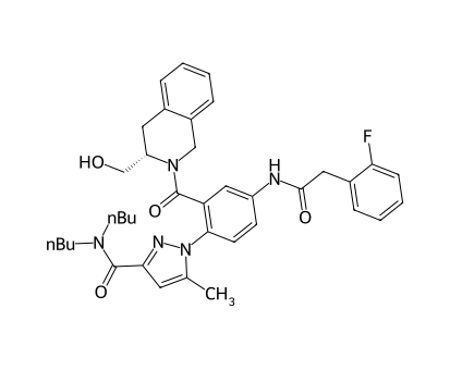 CCCCN(CCCC)C(=O)c1cc(C)n(-c2ccc(NC(=O)Cc3ccccc3F)cc2C(=O)N2Cc3ccccc3C[C@H]2CO)n1